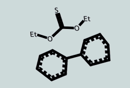 CCOC(=S)OCC.c1ccc(-c2ccccc2)cc1